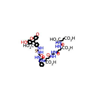 O=C(O)CC[C@H](NC(=O)N[C@@H](CCC(=O)NCCNC(=O)CC[C@@H](NC(=O)C(Cc1ccccc1)NC(=O)CNC(=S)Nc1ccc(-c2c3ccc(=O)cc-3oc3cc(O)ccc23)c(C(=O)O)c1)C(=O)O)C(=O)O)C(=O)O